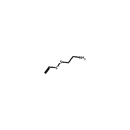 C=CSSCCN